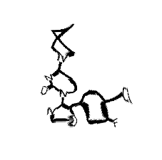 O=c1nc(N2CC3(CC3)C2)ccn1-c1ncoc1-c1ccc(Cl)c(F)c1